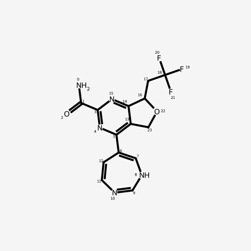 NC(=O)c1nc(C2=CNC=NC=C2)c2c(n1)C(CC(F)(F)F)OC2